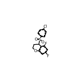 O=S(=O)(c1ccc(Cl)cc1)C1CCOc2cc(F)cc(F)c21